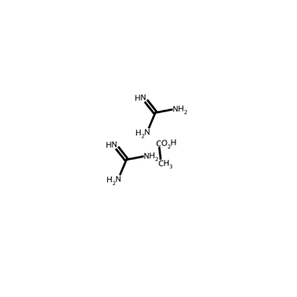 CC(=O)O.N=C(N)N.N=C(N)N